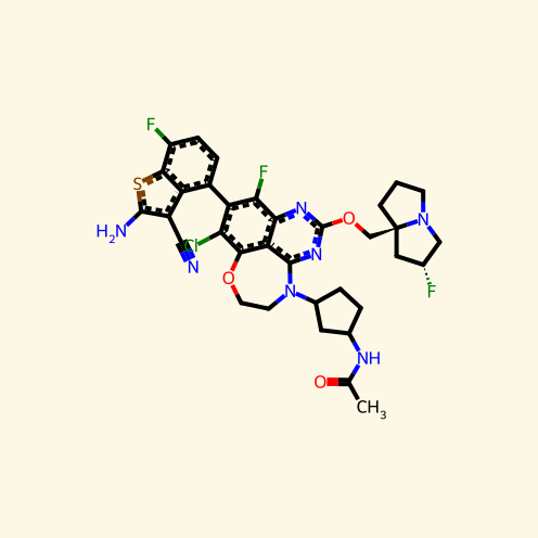 CC(=O)NC1CCC(N2CCOc3c(Cl)c(-c4ccc(F)c5sc(N)c(C#N)c45)c(F)c4nc(OC[C@@]56CCCN5C[C@H](F)C6)nc2c34)C1